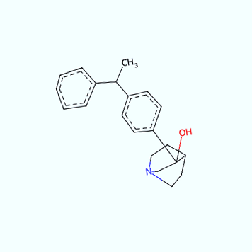 CC(c1ccccc1)c1ccc(C2(O)CN3CCC2CC3)cc1